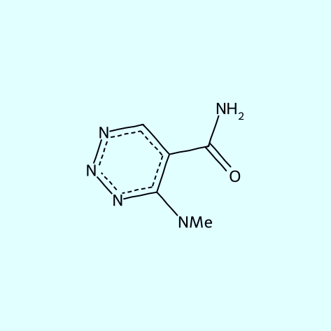 CNc1nnncc1C(N)=O